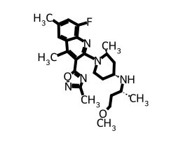 COCC[C@@H](C)N[C@@H]1CCN(c2nc3c(F)cc(C)cc3c(C)c2-c2nc(C)no2)[C@H](C)C1